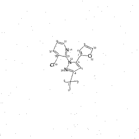 CC(C)(C)c1cc(-c2ccco2)n(-c2ncccc2Cl)n1